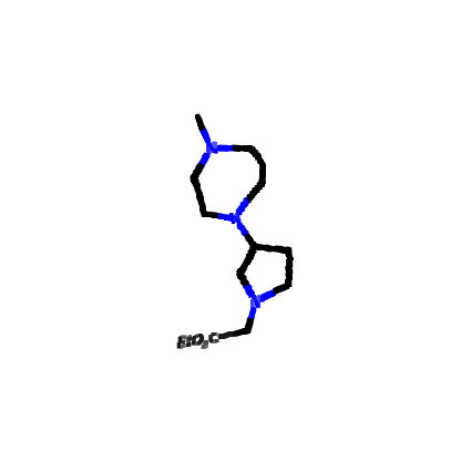 CCOC(=O)CN1CCC(N2CCN(C)CC2)C1